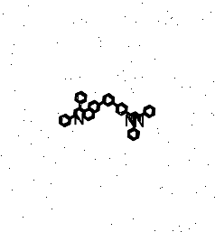 c1ccc(-c2cc(-c3ccc(-c4cccc(-c5ccc6c(ccc7nc(-c8ccccc8)cc(-c8ccccc8)c76)c5)c4)cc3)nc(-c3ccccc3)n2)cc1